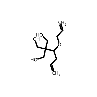 C=CCOC(CC=C)C(CO)(CO)CO